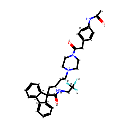 CC(=O)Nc1ccc(CC(=O)N2CCN(CCCCC3(C(=O)NCC(F)(F)F)c4ccccc4-c4ccccc43)CC2)cc1